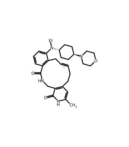 CCN(c1cccc2c1C/C=C/CCc1cc(C)[nH]c(=O)c1CNC2=O)[C@H]1CC[C@H](N2CCOCC2)CC1